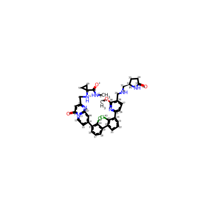 CNC(=O)C1(NCc2cc(=O)n3ccc(-c4cccc(-c5cccc(-c6ccc(CNC[C@H]7CCC(=O)N7)c(OC)n6)c5Cl)c4Cl)cc3n2)CC1